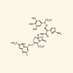 CC1=NC2=CN(C(=O)O)NN2C(SCC2=C(C(=O)O)N3C(=O)[C@@H](NC(=O)C(=NOC(C(=O)O)c4cc(O)c(O)c(O)c4)c4csc(N)n4)[C@H]3SC2)=C1